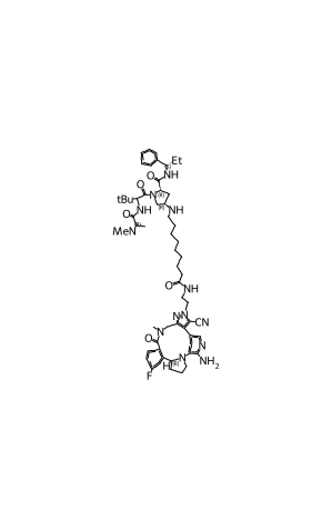 CC[C@H](NC(=O)[C@H]1C[C@@H](NCCCCCCCCC(=O)NCCn2nc3c(c2C#N)-c2cnc(N)c(c2)N2CCC[C@@H]2c2cc(F)ccc2C(=O)N(C)C3)CN1C(=O)C(NC(=O)[C@@H](C)NC)C(C)(C)C)c1ccccc1